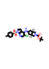 Cc1ccc(S(=O)(=O)n2ccc3c(NC4C[C@@H]5CN(C(=O)OC(C)(C)C)C[C@@H]5C4)c(Br)cnc32)cc1